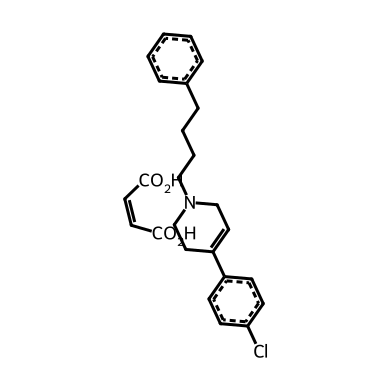 Clc1ccc(C2=CCN(CCCCc3ccccc3)CC2)cc1.O=C(O)/C=C\C(=O)O